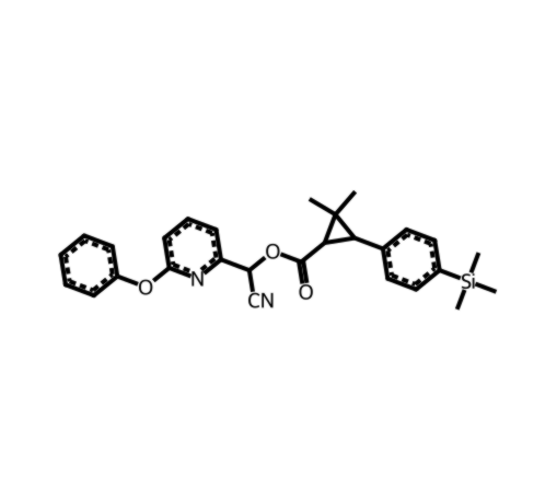 CC1(C)C(C(=O)OC(C#N)c2cccc(Oc3ccccc3)n2)C1c1ccc([Si](C)(C)C)cc1